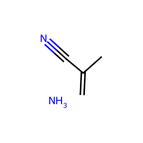 C=C(C)C#N.N